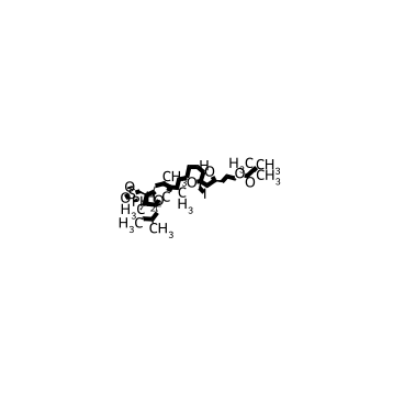 C=C([C@H](C)CC1CC[C@@H]2O[C@@H](CCCOC(=O)C(C)(C)C)C[C@]2(CI)O1)[C@H](C)C[C@@H]1O[C@H](C[C@H](C)CC)[C@H](C)[C@H]1CS(=O)(=O)P